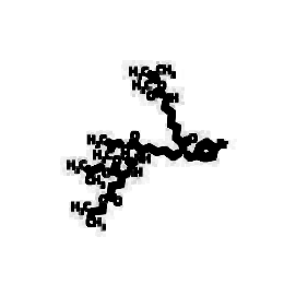 CC(C)COC(=O)CCC(NC(=O)NC(CCCCN(Cc1ccc(Br)cc1)C(=O)CCCCCNC(=O)OC(C)(C)C)C(=O)OCC(C)C)C(=O)OCC(C)C